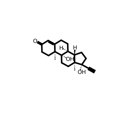 C#C[C@]1(O)CC[C@H]2[C@@H]3CCC4=CC(=O)CC[C@]4(C)[C@]3(O)CC[C@@]21C